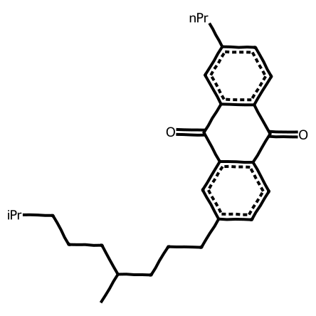 CCCc1ccc2c(c1)C(=O)c1cc(CCCC(C)CCCC(C)C)ccc1C2=O